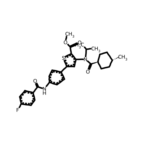 COC(=O)c1sc(-c2ccc(NC(=O)c3ccc(F)cc3)cc2)cc1N(C(=O)[C@H]1CC[C@H](C)CC1)C(C)C